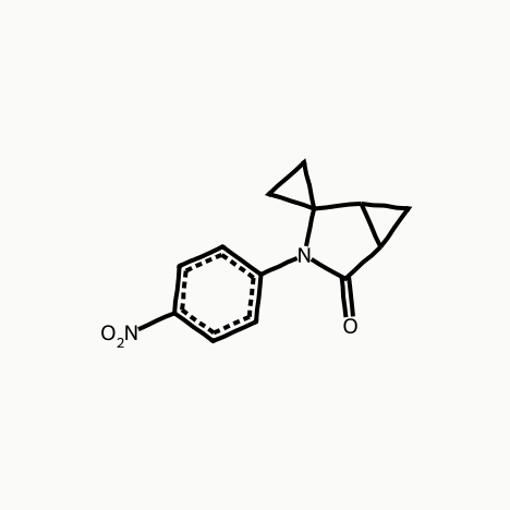 O=C1C2CC2C2(CC2)N1c1ccc([N+](=O)[O-])cc1